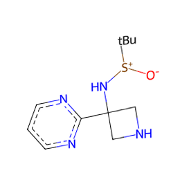 CC(C)(C)[S+]([O-])NC1(c2ncccn2)CNC1